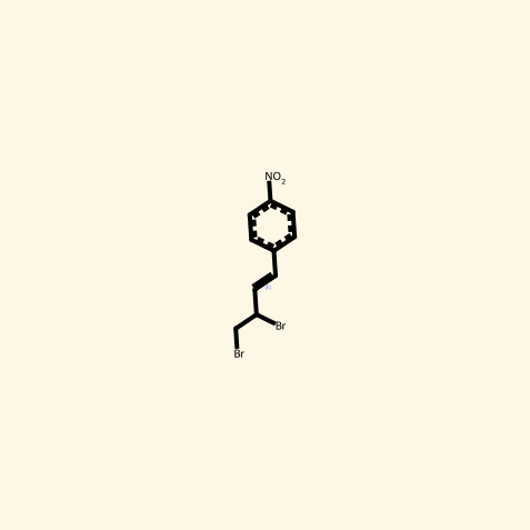 O=[N+]([O-])c1ccc(/C=C/C(Br)CBr)cc1